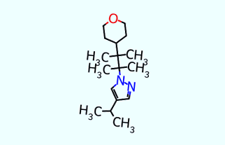 CC(C)c1cnn(C(C)(C)C(C)(C)C2CCOCC2)c1